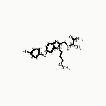 COCCCn1c(CN[C@@H](C)C(N)=O)nc2ccc(Oc3ccc(F)cc3)cc21